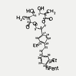 C=C(CO)C(=O)OCC(COC(=O)C(=C)CO)c1ccc(CCc2ccc(CCCCC)c(CC)c2)c(CC)c1